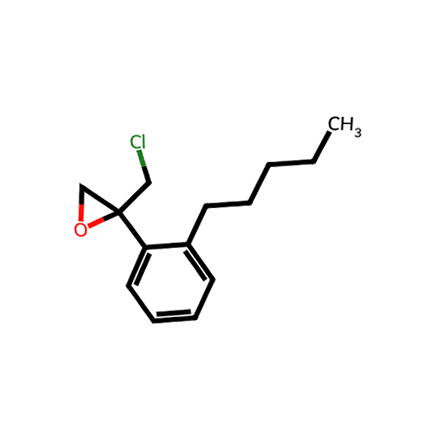 CCCCCc1ccccc1C1(CCl)CO1